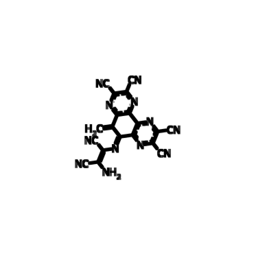 C=C1/C(=N\C(C#N)=C(/N)C#N)c2nc(C#N)c(C#N)nc2-c2nc(C#N)c(C#N)nc21